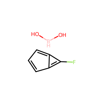 Fc1c2cccc1-2.OBO